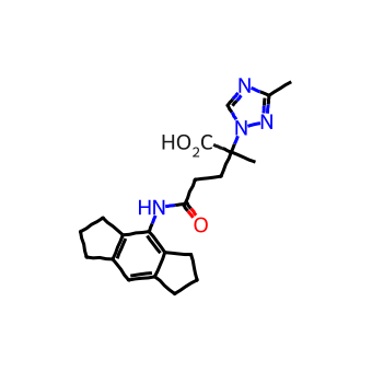 Cc1ncn(C(C)(CCC(=O)Nc2c3c(cc4c2CCC4)CCC3)C(=O)O)n1